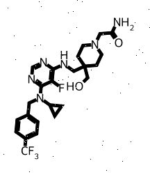 NC(=O)CN1CCC(CO)(CNc2ncnc(N(Cc3ccc(C(F)(F)F)cc3)C3CC3)c2F)CC1